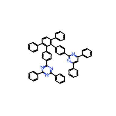 c1ccc(-c2cc(-c3ccccc3)nc(-c3ccc(-c4c(-c5ccccc5)ccc(-c5ccccc5)c4-c4ccc(-c5nc(-c6ccccc6)nc(-c6ccccc6)n5)cc4)cc3)n2)cc1